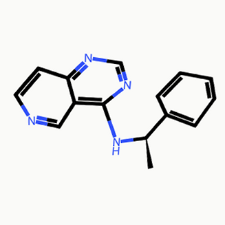 C[C@@H](Nc1ncnc2ccncc12)c1ccccc1